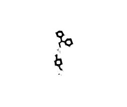 O=C(NO)c1ccc(C(=O)NOCCC(c2ccccc2)c2ccccc2)cc1